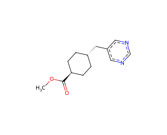 COC(=O)[C@H]1CC[C@H](Cc2cncnc2)CC1